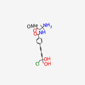 COC(=O)[C@@H](NC(=O)c1ccc(C#CC#CC(O)(CO)CCl)cc1)C(C)(C)N